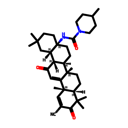 CC1CCN(C(=O)N[C@]23CCC(C)(C)C[C@H]2[C@H]2C(=O)C=C4[C@@]5(C)C=C(C#N)C(=O)C(C)(C)[C@@H]5CC[C@@]4(C)[C@]2(C)CC3)CC1